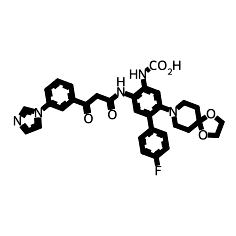 O=C(O)Nc1cc(N2CCC3(CC2)OCCO3)c(-c2ccc(F)cc2)cc1NC(=O)CC(=O)c1cccc(-n2ccnc2)c1